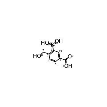 O=C(O)c1ccc(CO)c(B(O)O)c1